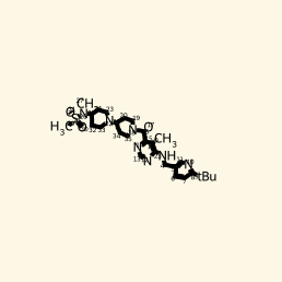 Cc1c(NCc2ccc(C(C)(C)C)nc2)ncnc1C(=O)N1CCC(N2CCC(N(C)S(C)(=O)=O)CC2)CC1